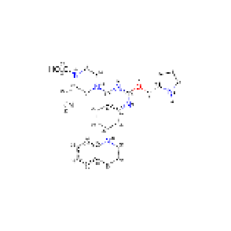 CN1CCC[C@H]1COc1nc2c(c(N3CCN(C(=O)O)[C@@H](CC#N)C3)n1)CCC(N1CCCc3ccccc31)C2